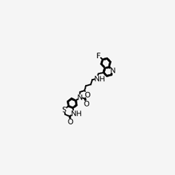 O=C1CSc2ccc(N3CC(CCCNCc4ccnc5ccc(F)cc45)OC3=O)cc2N1